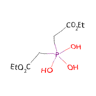 CCOC(=O)CP(O)(O)(O)CC(=O)OCC